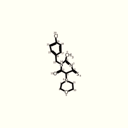 CC1=NC(=S)C(N2CCOCC2)C(=O)N1Cc1ccc(Cl)cc1